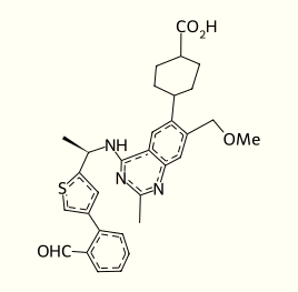 COCc1cc2nc(C)nc(N[C@H](C)c3cc(-c4ccccc4C=O)cs3)c2cc1C1CCC(C(=O)O)CC1